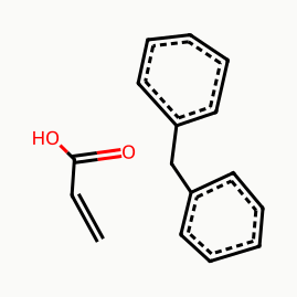 C=CC(=O)O.c1ccc(Cc2ccccc2)cc1